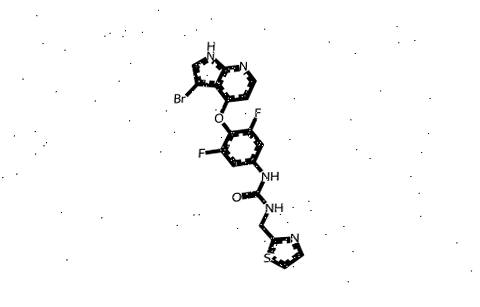 O=C(NCc1nccs1)Nc1cc(F)c(Oc2ccnc3[nH]cc(Br)c23)c(F)c1